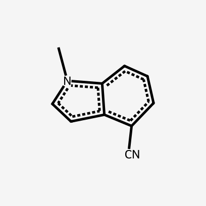 Cn1ccc2c(C#N)cccc21